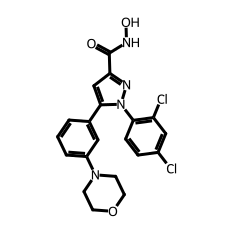 O=C(NO)c1cc(-c2cccc(N3CCOCC3)c2)n(-c2ccc(Cl)cc2Cl)n1